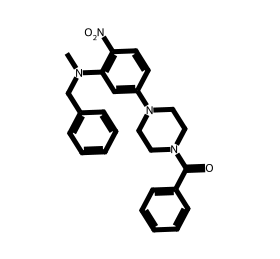 CN(Cc1ccccc1)c1cc(N2CCN(C(=O)c3ccccc3)CC2)ccc1[N+](=O)[O-]